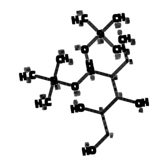 CCC(C(O)C(O)CO)[SiH](O[Si](C)(C)C)O[Si](C)(C)C